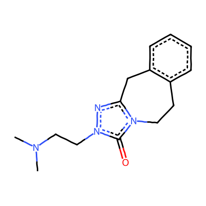 CN(C)CCn1nc2n(c1=O)CCc1ccccc1C2